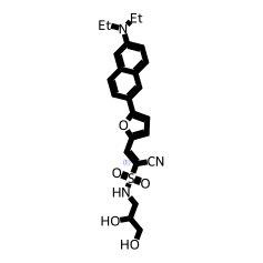 CCN(CC)c1ccc2cc(-c3ccc(/C=C(\C#N)S(=O)(=O)NCC(O)CO)o3)ccc2c1